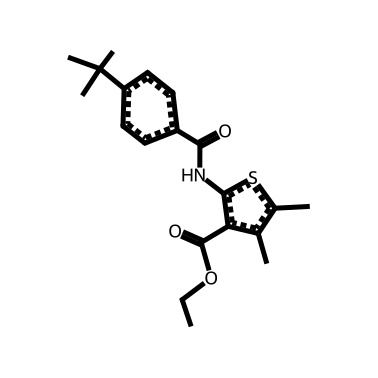 CCOC(=O)c1c(NC(=O)c2ccc(C(C)(C)C)cc2)sc(C)c1C